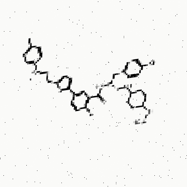 Cc1ccc([C@@H](C)NCc2ccc(-c3ccc(Cl)c(C(=O)N[C@@H](CNC4CCC(NC(=O)O)CC4)Cc4ccc(C#N)cc4)c3)o2)cc1